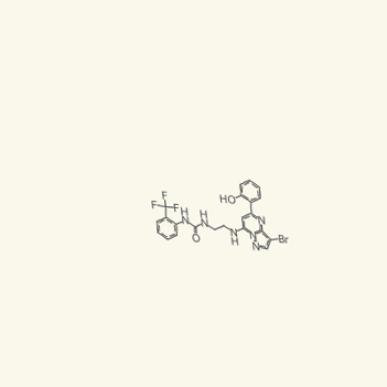 O=C(NCCNc1cc(-c2ccccc2O)nc2c(Br)cnn12)Nc1ccccc1C(F)(F)F